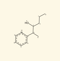 CCCC(O)C(C)c1ccccn1